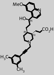 COc1ccc2nccc([C@H](O)CC[C@@H]3CCN(CC#Cc4cc(C)cc(C)c4)C[C@H]3CCC(=O)O)c2c1